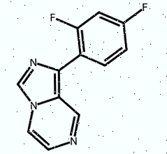 Fc1ccc(-c2ncn3ccncc23)c(F)c1